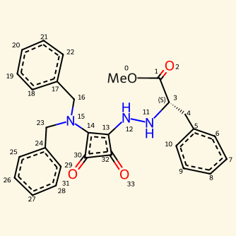 COC(=O)[C@H](Cc1ccccc1)NNc1c(N(Cc2ccccc2)Cc2ccccc2)c(=O)c1=O